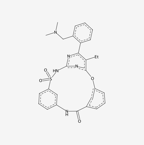 CCc1c2nc(nc1-c1ccccc1CN(C)C)NS(=O)(=O)c1cccc(c1)NC(=O)c1cccc(c1)O2